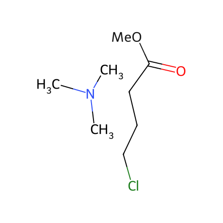 CN(C)C.COC(=O)CCCCl